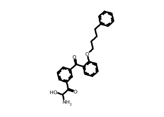 NC(O)C(=O)c1cccc(C(=O)c2ccccc2OCCCCc2ccccc2)c1